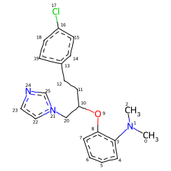 CN(C)c1ccccc1OC(CCc1ccc(Cl)cc1)Cn1ccnc1